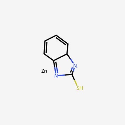 SC1=NC2C=CC=CC2=N1.[Zn]